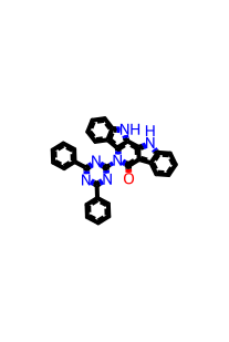 O=c1c2c3ccccc3[nH]c2c2[nH]c3ccccc3c2n1-c1nc(-c2ccccc2)nc(-c2ccccc2)n1